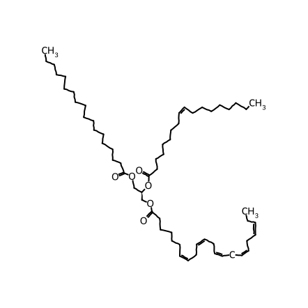 CC/C=C\C/C=C\C/C=C\C/C=C\C/C=C\CCCCCC(=O)OC[C@@H](COC(=O)CCCCCCCCCCCCCCCCC)OC(=O)CCCCCCC/C=C\CCCCCCCC